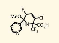 COC1(c2cccnc2)NC(C(=O)O)(C(F)(F)F)C(Cl)=CC1F